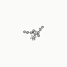 N#Cc1c(-n2c3ccccc3c3cc(-c4ccc(-c5ccccc5)nc4)ccc32)cc(-c2c(F)c(F)c(F)c(F)c2F)cc1-n1c2ccccc2c2cc(-c3ccc(-c4ccccc4)nc3)ccc21